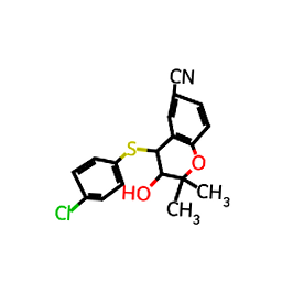 CC1(C)Oc2ccc(C#N)cc2C(Sc2ccc(Cl)cc2)C1O